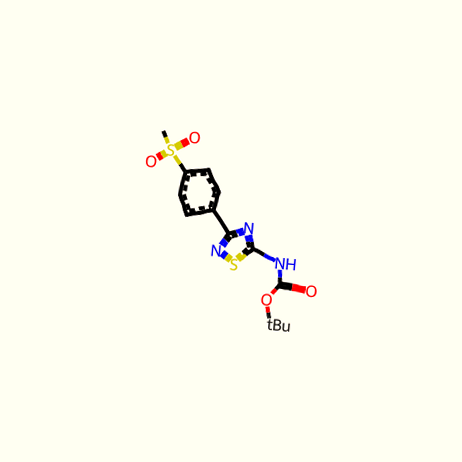 CC(C)(C)OC(=O)Nc1nc(-c2ccc(S(C)(=O)=O)cc2)ns1